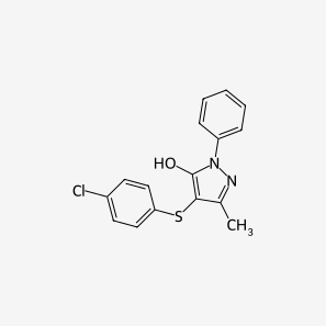 Cc1nn(-c2ccccc2)c(O)c1Sc1ccc(Cl)cc1